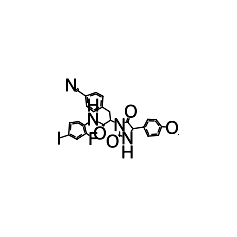 COc1ccc(C2NC(=O)N(C(Cc3ccc(C#N)cc3)C(=O)Nc3ccc(I)cc3F)C2=O)cc1